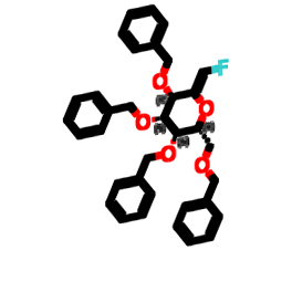 FC=C1O[C@H](COCc2ccccc2)[C@H](OCc2ccccc2)[C@H](OCc2ccccc2)[C@H]1OCc1ccccc1